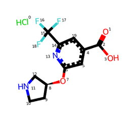 Cl.O=C(O)c1cc(O[C@H]2CCNC2)nc(C(F)(F)F)c1